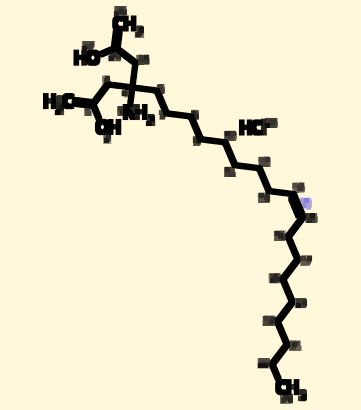 C=C(O)CC(N)(CCCCCCCC/C=C\CCCCCCCC)CC(=C)O.Cl